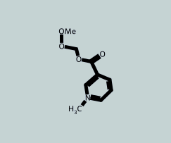 COOCOC(=O)c1ccc[n+](C)c1